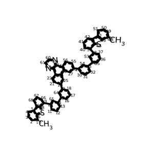 Cc1cccc2c1sc1c(-c3cccc(-c4cccc(-c5ccc6c(c5)c5cc(-c7cccc(-c8cccc(-c9cccc%10c9sc9c(C)cccc9%10)c8)c7)ccc5c5nccnc65)c4)c3)cccc12